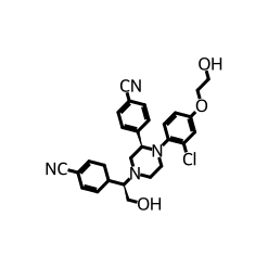 N#CC1=CCC([C@H](CO)N2CCN(c3ccc(OCCO)cc3Cl)[C@H](c3ccc(C#N)cc3)C2)C=C1